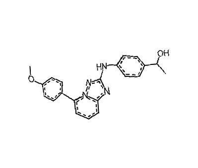 COc1ccc(-c2cccc3nc(Nc4ccc(C(C)O)cc4)nn23)cc1